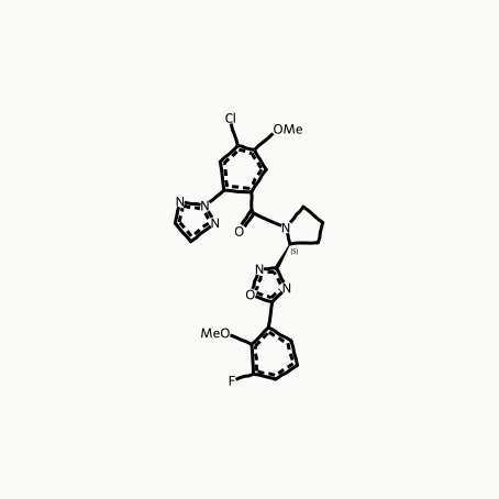 COc1cc(C(=O)N2CCC[C@H]2c2noc(-c3cccc(F)c3OC)n2)c(-n2nccn2)cc1Cl